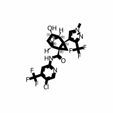 Cn1cc([C@@]23C[C@]2(C(=O)Nc2cc(C(F)(F)F)c(Cl)cn2)[C@H]2C[C@H](O)[C@@H]3O2)c(C(F)(F)F)n1